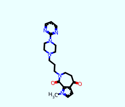 Cn1ccc2c1C(=O)N(CCCN1CCN(c3ncccn3)CC1)CCC2=O